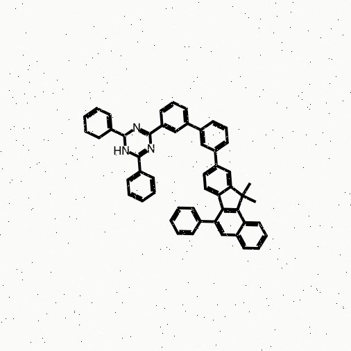 CC1(C)c2cc(-c3cccc(-c4cccc(C5=NC(C6=CC=CCC6)NC(c6ccccc6)=N5)c4)c3)ccc2-c2c(-c3ccccc3)cc3ccccc3c21